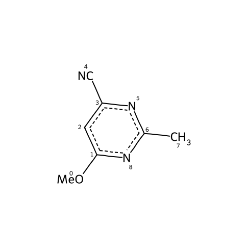 COc1cc(C#N)nc(C)n1